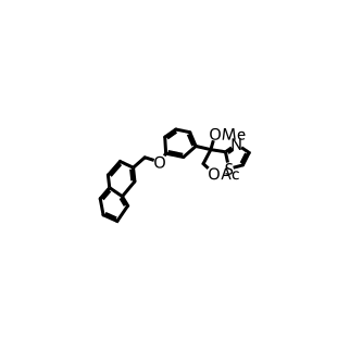 COC(COC(C)=O)(c1cccc(OCc2ccc3ccccc3c2)c1)c1nccs1